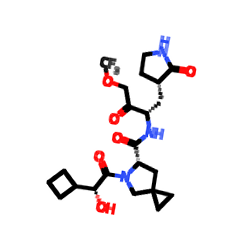 O=C1NCC[C@H]1C[C@H](NC(=O)[C@@H]1CC2(CC2)CN1C(=O)[C@H](O)C1CCC1)C(=O)COC(F)(F)F